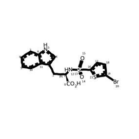 O=C(O)[C@@H](Cc1c[nH]c2ccccc12)NS(=O)(=O)c1ccc(Br)s1